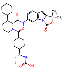 CC1(C)OC(=O)n2c1cc1ccc(NC(=O)[C@@H]3[C@H](C4CCCCC4)CCCN3C(=O)C3CCC([C@@H](CF)NC(=O)O)CC3)cc12